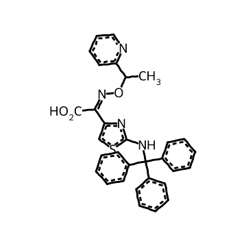 CC(O/N=C(/C(=O)O)c1csc(NC(c2ccccc2)(c2ccccc2)c2ccccc2)n1)c1ccccn1